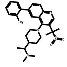 CC(C1CCN(c2c(C(C)(C)[SH](=O)=O)cnc3ccc(-c4ccccc4O)cc23)CC1)N(C)C